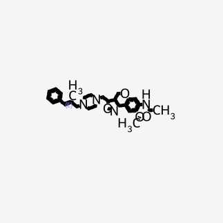 COc1cc2c(cc1NC(C)=O)OCC1C2=NOC1CN1CCN(C/C(C)=C/c2ccccc2)CC1